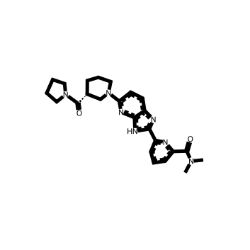 CN(C)C(=O)c1cccc(-c2nc3ccc(N4CCC[C@@H](C(=O)N5CCCC5)C4)nc3[nH]2)n1